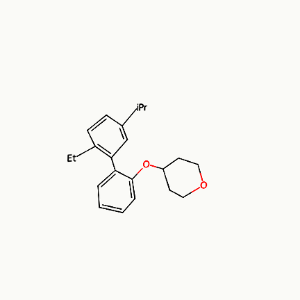 CCc1ccc(C(C)C)cc1-c1ccccc1OC1CCOCC1